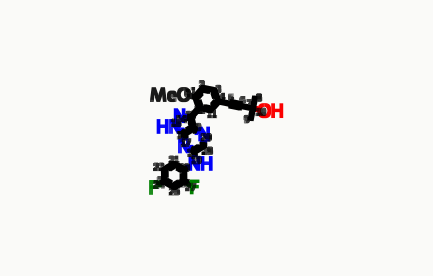 COc1ccc(C#CC(C)(C)O)cc1-c1n[nH]c2nc(Nc3ccc(F)cc3F)cnc12